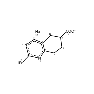 CC(C)c1ncc2c(n1)CCC(C(=O)[O-])C2.[Na+]